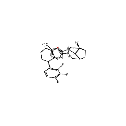 Cc1noc(N2CC3CC[C@@H](C2)[C@@H]3Nc2nc3n(n2)CCCC3c2ccc(F)c(F)c2F)n1